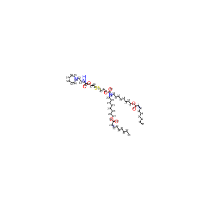 CCCCCC/C=C\C(=O)OCCCCCCCCN(CCCCCCCCOC(=O)/C=C\CCCCCC)C(=O)OCCSSCCOC(=O)NCCN1CCCCCC1